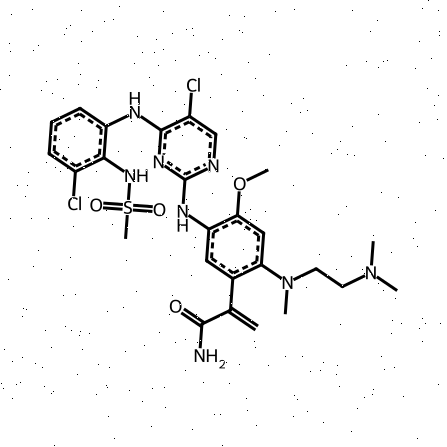 C=C(C(N)=O)c1cc(Nc2ncc(Cl)c(Nc3cccc(Cl)c3NS(C)(=O)=O)n2)c(OC)cc1N(C)CCN(C)C